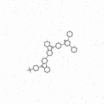 C[Si](C)(C)c1ccc(-n2c3ccccc3c3cc(-c4ccc5c(c4)c4ccccc4n5-c4ccc(-c5cc(-c6ccccc6)cc(-c6ccccc6)n5)cc4)ccc32)cc1